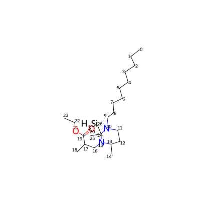 CCCCCCCCCCN1CCC(C)N(CC(C)C(=O)OCC)C1(C)[SiH3]